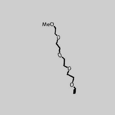 C=COCCOCCOCCOCCOC